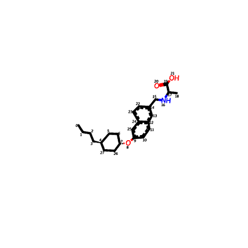 CCCC[C@H]1CC[C@H](Oc2ccc3cc(CNC(C)C(=O)O)ccc3c2)CC1